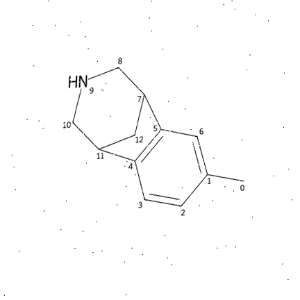 Cc1ccc2c(c1)C1CNCC2C1